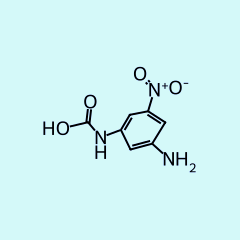 Nc1cc(NC(=O)O)cc([N+](=O)[O-])c1